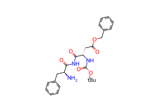 CC(C)(C)OC(=O)N[C@@H](CC(=O)OCc1ccccc1)C(=O)NC(=O)[C@@H](N)Cc1ccccc1